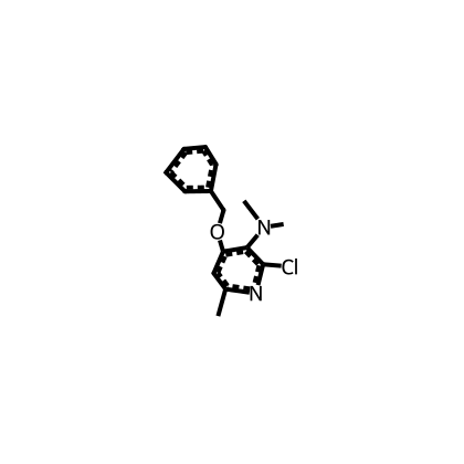 Cc1cc(OCc2ccccc2)c(N(C)C)c(Cl)n1